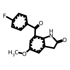 COc1cc2c(c(C(=O)c3ccc(F)cc3)c1)NC(=O)C2